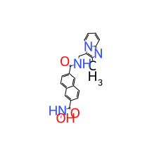 Cc1nc2ccccn2c1CNC(=O)c1ccc2cc(C(=O)NO)ccc2c1